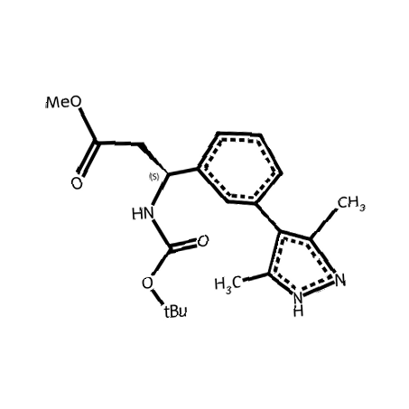 COC(=O)C[C@H](NC(=O)OC(C)(C)C)c1cccc(-c2c(C)n[nH]c2C)c1